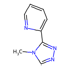 Cn1[c]nnc1-c1ccccn1